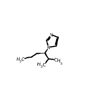 CCC[C@H](C(C)C)n1ccnc1